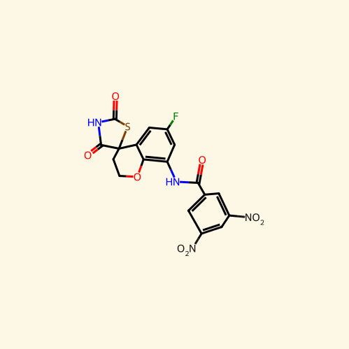 O=C1NC(=O)C2(CCOc3c(NC(=O)c4cc([N+](=O)[O-])cc([N+](=O)[O-])c4)cc(F)cc32)S1